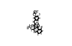 CC(C)Cc1nc2cccc(F)c2c(=O)n1NC(=O)Cc1cccc(OC(F)(F)F)c1